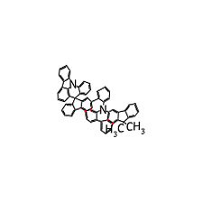 CC1(C)c2ccccc2-c2cc(N(c3ccccc3-c3ccccc3)c3ccccc3-c3ccc4c(c3)C3(c5ccccc5-4)c4ccccc4-n4c5ccccc5c5cccc3c54)ccc21